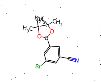 CC1(C)OB(c2cc(Br)cc(C#N)c2)OC1(C)C